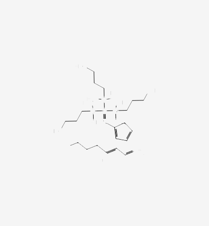 C=CC=CCCCC.CCCC[Si](C)(C)P(=NC1=CC=CC1)([Si](C)(C)CCCC)[Si](C)(C)CCCC.[Ti]